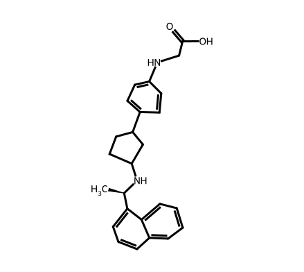 C[C@@H](NC1CCC(c2ccc(NCC(=O)O)cc2)C1)c1cccc2ccccc12